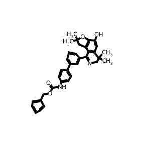 CC1(C)Cc2c(c(O)cc3c2C(c2cccc(-c4ccc(NC(=O)OCc5ccccc5)cc4)c2)=NCC3(C)C)O1